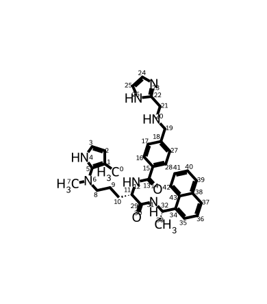 Cc1cc[nH]c1N(C)CCC[C@H](NC(=O)c1ccc(CNCc2ncc[nH]2)cc1)C(=O)N[C@@H](C)c1cccc2ccccc12